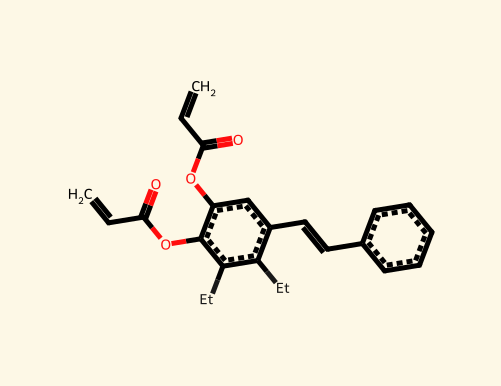 C=CC(=O)Oc1cc(C=Cc2ccccc2)c(CC)c(CC)c1OC(=O)C=C